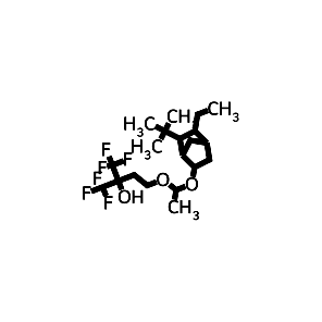 CCC1C2CC(OC(C)OCCC(O)(C(F)(F)F)C(F)(F)F)C(C2)C1C(C)(C)C